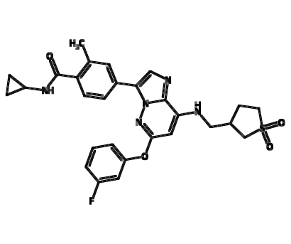 Cc1cc(-c2cnc3c(NCC4CCS(=O)(=O)C4)cc(Oc4cccc(F)c4)nn23)ccc1C(=O)NC1CC1